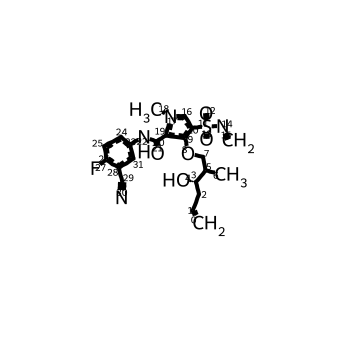 C=CC[C@H](O)C(C)COc1c(S(=O)(=O)N=C)cn(C)c1C(=O)Nc1ccc(F)c(C#N)c1